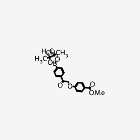 COC(=O)c1ccc(OCC(=O)c2ccc(B3OC(C)(C)C(C)(C)O3)cc2)cc1